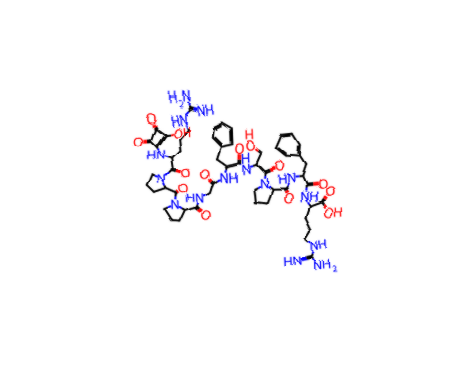 N=C(N)NCCCC(NC(=O)C(Cc1ccccc1)NC(=O)C1CCCN1C(=O)C(CO)NC(=O)C(Cc1ccccc1)NC(=O)CNC(=O)C1CCCN1C(=O)C1CCCN1C(=O)C(CCCNC(=N)N)Nc1c(O)c(=O)c1=O)C(=O)O